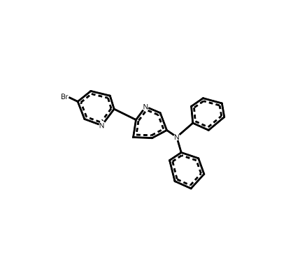 Brc1ccc(-c2ccc(N(c3ccccc3)c3ccccc3)cn2)nc1